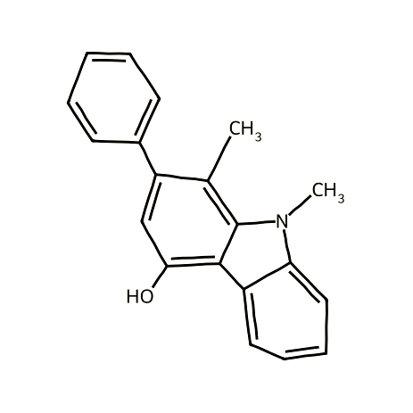 Cc1c(-c2ccccc2)cc(O)c2c3ccccc3n(C)c12